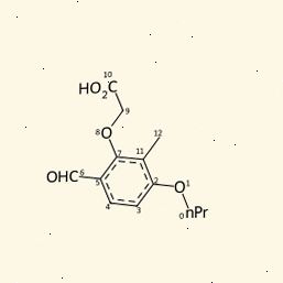 CCCOc1ccc(C=O)c(OCC(=O)O)c1C